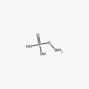 O=P(O)(O)[O][SbH2]